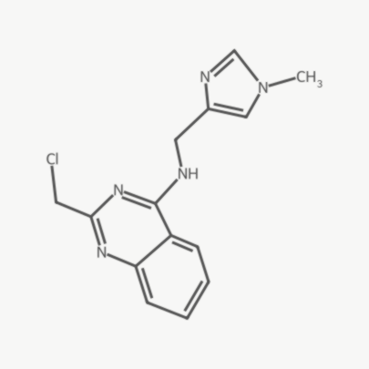 Cn1cnc(CNc2nc(CCl)nc3ccccc23)c1